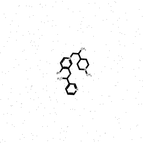 CC(C)c1cc[n+](CC(C)C2CCN(C)CC2)cc1CC(C)c1cccnc1